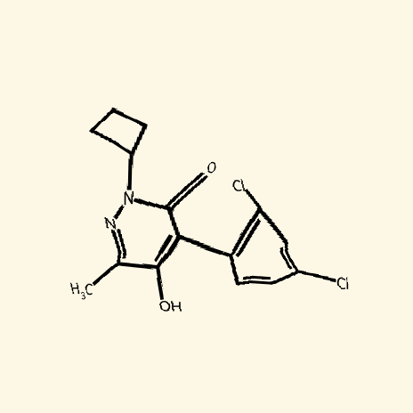 Cc1nn(C2CCC2)c(=O)c(-c2ccc(Cl)cc2Cl)c1O